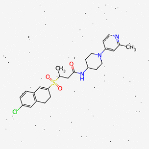 Cc1cc(N2CCC(NC(=O)CC(C)S(=O)(=O)C3=Cc4ccc(Cl)cc4CC3)CC2)ccn1